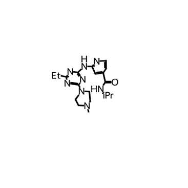 CCc1nc(Nc2cc(C(=O)NC(C)C)ccn2)nc(N2CCN(C)CC2)n1